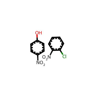 O=[N+]([O-])c1ccc(O)cc1.O=[N+]([O-])c1ccccc1Cl